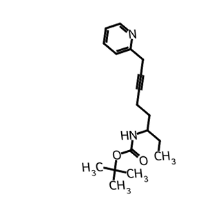 CCC(CCC#CCc1ccccn1)NC(=O)OC(C)(C)C